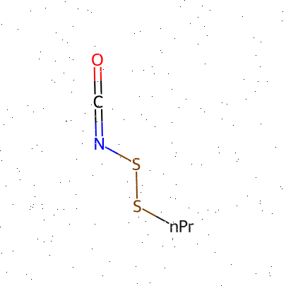 CCCSSN=C=O